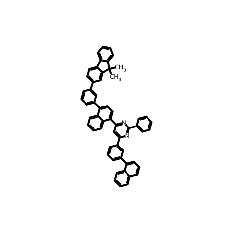 CC1(C)c2ccccc2-c2ccc(-c3cccc(-c4ccc(-c5cc(-c6cccc(-c7cccc8ccccc78)c6)nc(-c6ccccc6)n5)c5ccccc45)c3)cc21